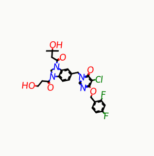 CC(C)(O)CC(=O)N1CN(C(=O)CCO)c2ccc(Cn3cnc(OCc4ccc(F)cc4F)c(Cl)c3=O)cc21